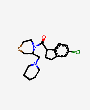 O=C(C1CCc2cc(Cl)ccc21)N1CCSCC1CN1CCCCC1